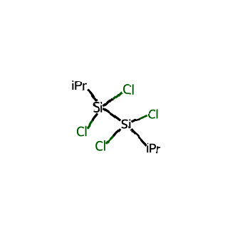 CC(C)[Si](Cl)(Cl)[Si](Cl)(Cl)C(C)C